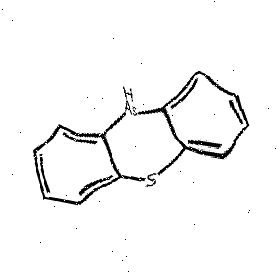 c1ccc2c(c1)Sc1ccccc1[AsH]2